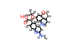 CCN(C)c1ccc2c(-c3ccc4c5c(ccnc35)CCO4)c([C@H](OC(C)(C)C)C(=O)O)c(C)cc2n1